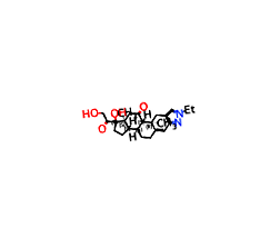 CCn1cc2c(n1)C=C1CC[C@@H]3[C@H](C(=O)C[C@@]4(C)[C@H]3CC[C@]4(O)C(=O)CO)[C@@]1(C)C2